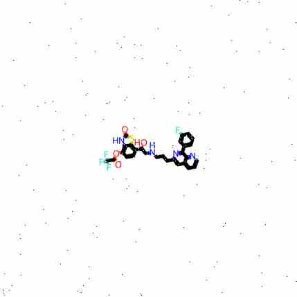 O=C(Oc1ccc([C@@H](O)CNCCCc2cc3cccnc3c(-c3cccc(F)c3)n2)c2sc(=O)[nH]c12)C(F)(F)F